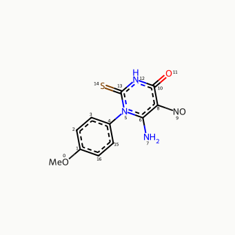 COc1ccc(-n2c(N)c(N=O)c(=O)[nH]c2=S)cc1